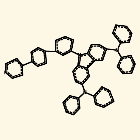 c1ccc(N(c2ccccc2)c2ccc3c(c2)c2cc(N(c4ccccc4)c4ccccc4)ccc2n3-c2cccc(-c3ccc(-c4ccncc4)cc3)c2)cc1